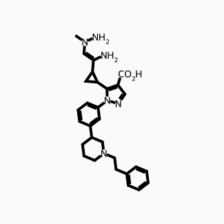 CN(N)/C=C(\N)C1CC1c1c(C(=O)O)cnn1-c1cccc(C2CCCN(CCc3ccccc3)C2)c1